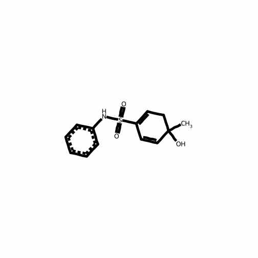 CC1(O)C=CC(S(=O)(=O)Nc2ccccc2)=CC1